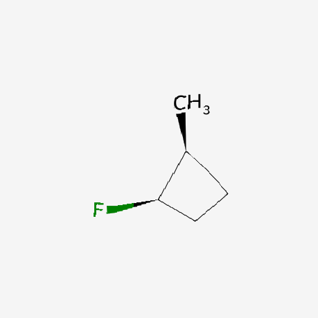 C[C@H]1CC[C@H]1F